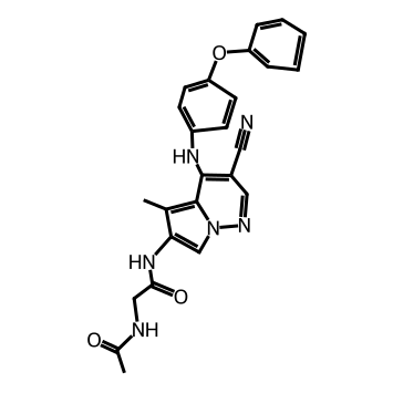 CC(=O)NCC(=O)Nc1cn2ncc(C#N)c(Nc3ccc(Oc4ccccc4)cc3)c2c1C